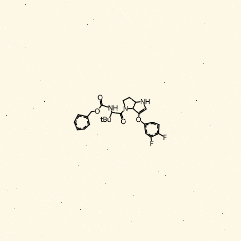 CC(C)(C)C(NC(=O)OCc1ccccc1)C(=O)N1CCC2NC=C(Oc3ccc(F)c(F)c3)C21